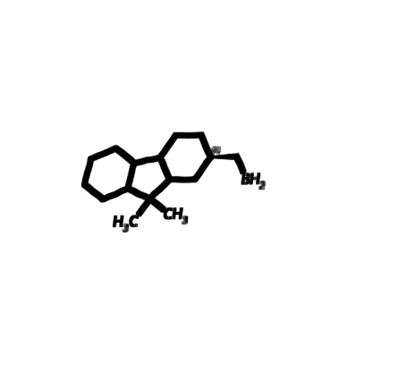 BC[C@@H]1CCC2C3CCCCC3C(C)(C)C2C1